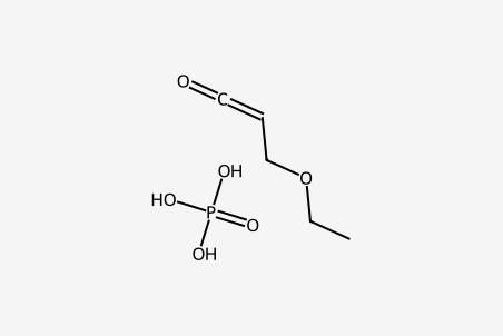 CCOCC=C=O.O=P(O)(O)O